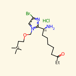 CCC(=O)CCCCC[C@H](N)c1nc(Br)cn1COCC[Si](C)(C)C.Cl